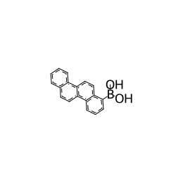 OB(O)c1cccc2c1ccc1c3ccccc3ccc21